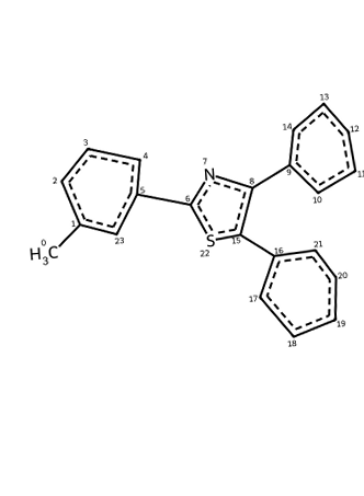 Cc1cccc(-c2nc(-c3ccccc3)c(-c3ccccc3)s2)c1